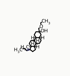 CC/C=C1/CC[C@H]2[C@@H]3CC[C@@H]4C[C@@](O)(COCC)CC[C@@H]4[C@H]3CC[C@]12C